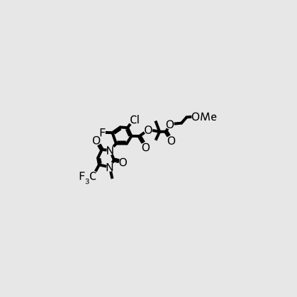 COCCOC(=O)C(C)(C)OC(=O)c1cc(-n2c(=O)cc(C(F)(F)F)n(C)c2=O)c(F)cc1Cl